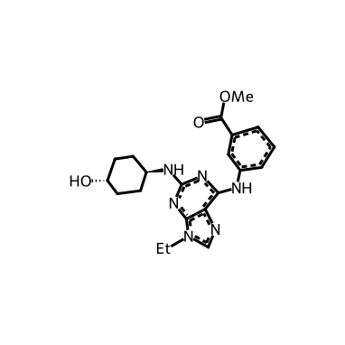 CCn1cnc2c(Nc3cccc(C(=O)OC)c3)nc(N[C@H]3CC[C@H](O)CC3)nc21